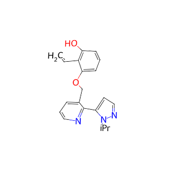 C=Cc1c(O)cccc1OCc1cccnc1-c1ccnn1C(C)C